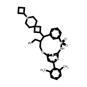 Cc1cccc(C)c1-c1cc2nc(n1)NS(=O)(=O)c1cccc(c1)C(C1CC3(CCN(C4CCC4)CC3)C1)C(CC(C)C)CO2